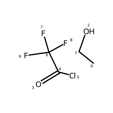 CCO.O=C(Cl)C(F)(F)F